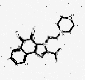 CC(C)c1nc2c(n1CCN1CCOCC1)C(=O)C(=O)c1ccccc1-2